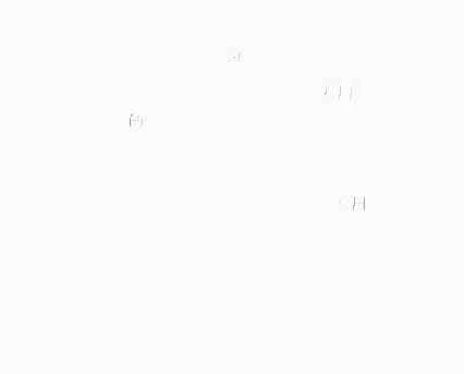 Cc1c(C)c2c(c(Br)c1Br)-c1ccccc1[CH]2